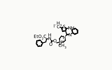 CCOC(=O)[C@H](Cc1ccccc1)NC(=O)OC[N+]1(C)CCN(C2=Nc3ccccc3Nc3sc(C)cc32)CC1.[I-]